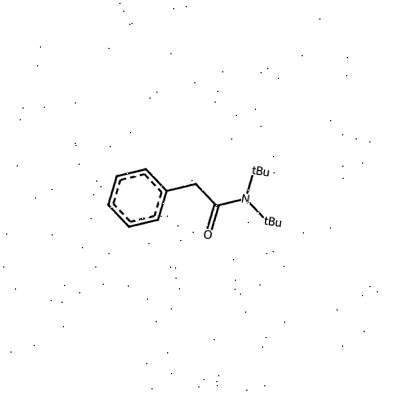 CC(C)(C)N(C(=O)Cc1ccccc1)C(C)(C)C